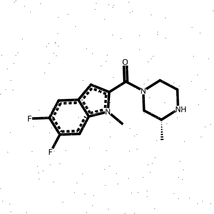 C[C@@H]1CN(C(=O)c2cc3cc(F)c(F)cc3n2C)CCN1